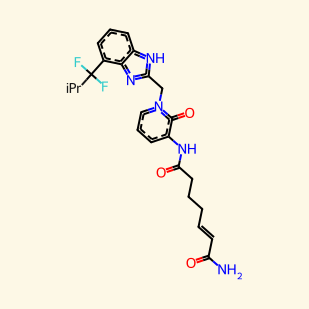 CC(C)C(F)(F)c1cccc2[nH]c(Cn3cccc(NC(=O)CCC/C=C/C(N)=O)c3=O)nc12